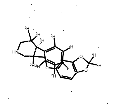 [2H]c1c([2H])c([C@]2([2H])C([2H])([2H])CNCC2([2H])COc2ccc3c(c2)OC([2H])([2H])O3)c([2H])c([2H])c1F